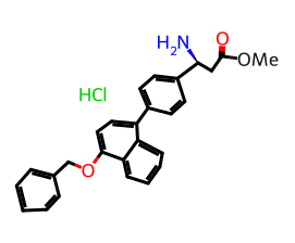 COC(=O)C[C@H](N)c1ccc(-c2ccc(OCc3ccccc3)c3ccccc23)cc1.Cl